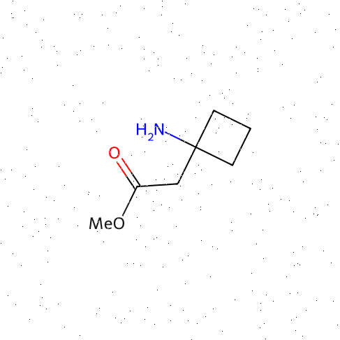 COC(=O)CC1(N)CCC1